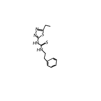 CCc1nnc(NC(=S)NCCc2ccccc2)s1